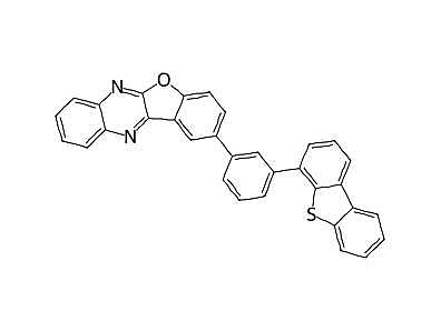 c1cc(-c2ccc3oc4nc5ccccc5nc4c3c2)cc(-c2cccc3c2sc2ccccc23)c1